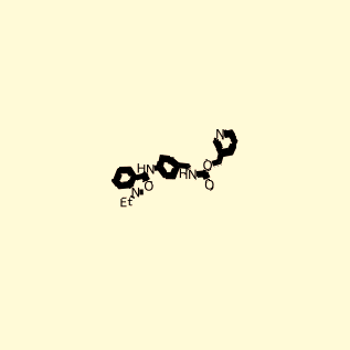 CCN(C)c1ccccc1C(=O)Nc1ccc(CNC(=O)OCc2cccnc2)cc1